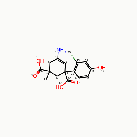 CC1(C(=O)O)CC(N)=CC(C(=O)O)(c2ccc(O)cc2F)C1